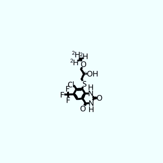 [2H]C([2H])([2H])OC[C@@H](O)CSc1c(Cl)c(C(F)(F)F)cc2c(=O)[nH]c(=O)[nH]c12